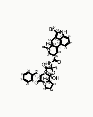 CN1C[C@H](C(=O)N[C@]2(C)O[C@@]3(O)[C@@H]4CCCN4C(=O)[C@H](Cc4ccccc4)N3C2=O)C=C2c3cccc4[nH]c(Br)c(c34)C[C@H]21